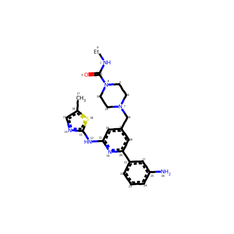 CCNC(=O)N1CCN(Cc2cc(Nc3ncc(C)s3)nc(-c3cccc(N)c3)c2)CC1